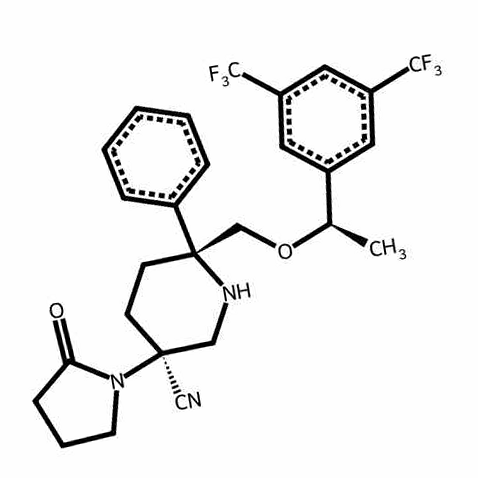 C[C@@H](OC[C@]1(c2ccccc2)CC[C@](C#N)(N2CCCC2=O)CN1)c1cc(C(F)(F)F)cc(C(F)(F)F)c1